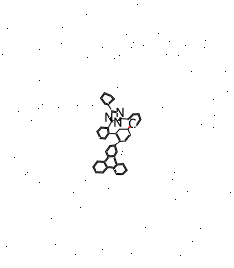 CC1C=CC(c2ccc3c4ccccc4c4ccccc4c3c2)=C(c2ccccc2-c2nc(-c3ccccc3)nc(-c3ccccc3)n2)C1